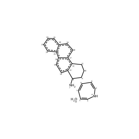 C1=CC=CNC=C1.NC1CCCc2c1ccc1c2ccc2ccccc21.O